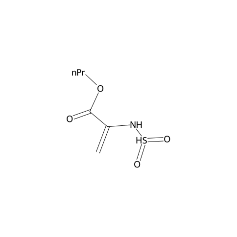 C=C(N[SH](=O)=O)C(=O)OCCC